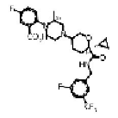 C[C@H]1CN(C2CC[C@@](C(=O)NCc3cc(F)cc(C(F)(F)F)c3)(C3CC3)OC2)CCN1c1ccc(F)cc1C(=O)O